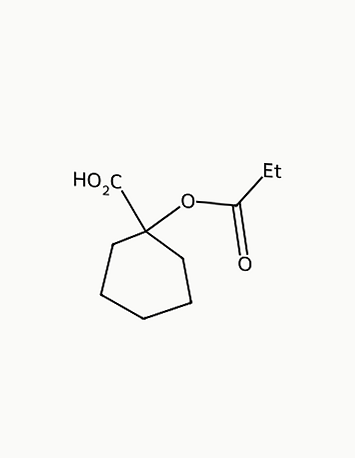 CCC(=O)OC1(C(=O)O)CCCCC1